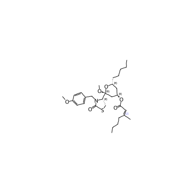 CCCCC[C@@H]1C[C@@H](OC(=O)/C=C(/C)CCCC)C[C@](OC)([C@@H]2CSC(=O)N2Cc2ccc(OC)cc2)O1